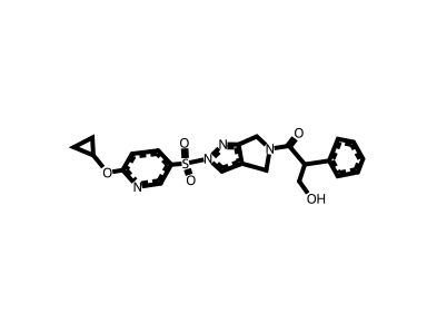 O=C(C(CO)c1ccccc1)N1Cc2cn(S(=O)(=O)c3ccc(OC4CC4)nc3)nc2C1